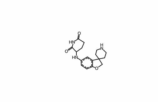 O=C1CCC(Nc2ccc3c(c2)C2(CCNCC2)CO3)C(=O)N1